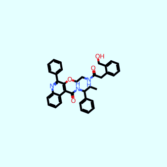 CCC(NC(=O)c1c(OCCNC(=O)Cc2ccccc2CO)c(-c2ccccc2)nc2ccccc12)c1ccccc1